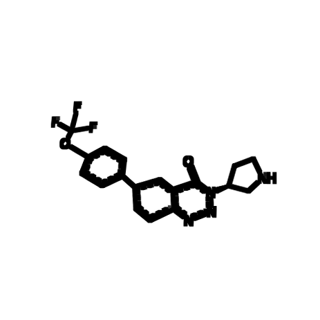 O=c1c2cc(-c3ccc(OC(F)(F)F)cc3)ccc2nnn1[C@H]1CCNC1